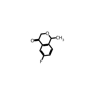 CC1OCC(=O)c2cc(F)ccc21